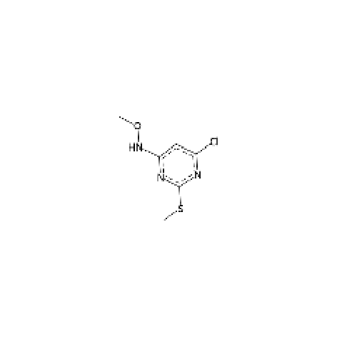 CONc1cc(Cl)nc(SC)n1